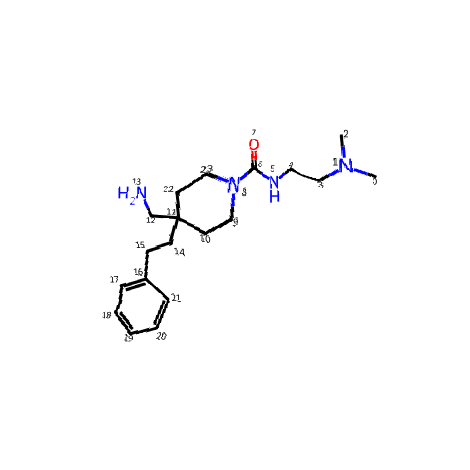 CN(C)CCNC(=O)N1CCC(CN)(CCc2ccccc2)CC1